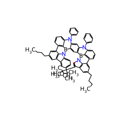 CCCCc1cc2c3c(c1)c1cc(C(C)(C)C)ccc1n3B1c3cc4c(cc3N(c3ccccc3)c3cccc-2c31)N(c1ccccc1)c1cccc2c1B4n1c3ccc(C(C)(C)C)cc3c3cc(CCCC)cc-2c31